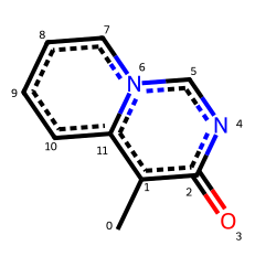 Cc1c(=O)ncn2ccccc12